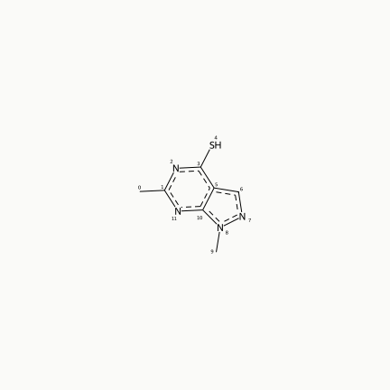 Cc1nc(S)c2cnn(C)c2n1